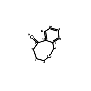 O=C1CCCSCc2ccccc21